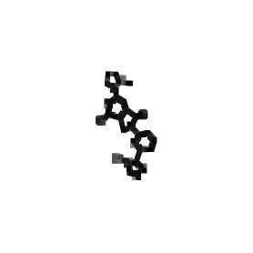 CCn1cnnc1-c1cccc(N2Cc3c(cc(N4CCC[C@H]4C)nc3Cl)C2=O)n1